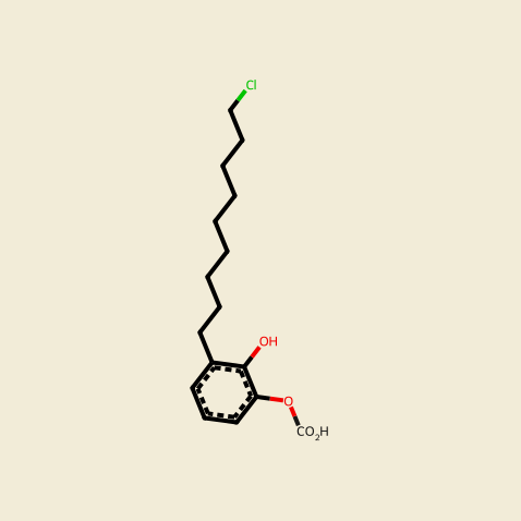 O=C(O)Oc1cccc(CCCCCCCCCCl)c1O